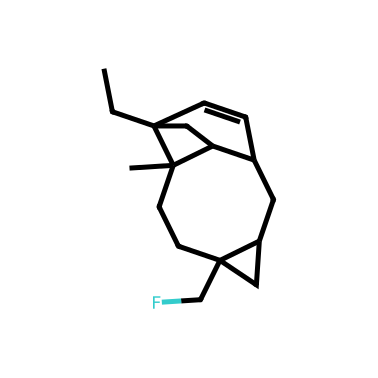 CCC12C=CC3CC4CC4(CF)CCC1(C)C3C2